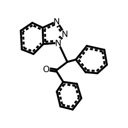 O=C(c1ccccc1)C(c1ccccc1)n1nnc2ccccc21